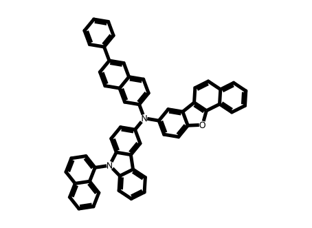 c1ccc(-c2ccc3cc(N(c4ccc5oc6c7ccccc7ccc6c5c4)c4ccc5c(c4)c4ccccc4n5-c4cccc5ccccc45)ccc3c2)cc1